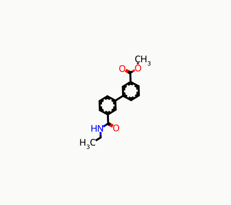 CCNC(=O)c1cccc(-c2cccc(C(=O)OC)c2)c1